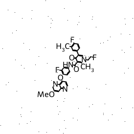 COc1cnc2c(Oc3ccc(NC(=O)c4c(C)n(CCF)cc(-c5ccc(F)c(C)c5)c4=O)cc3F)ccnc2c1